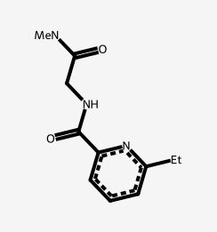 CCc1cccc(C(=O)NCC(=O)NC)n1